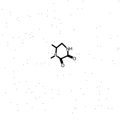 CC1CNC(=O)C(=O)N1C